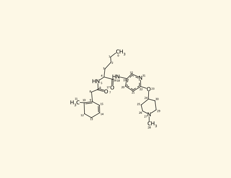 CCCCC(NC(=O)CC1=C(C)CCC=C1)C(=O)Nc1ccc(OC2CCN(C)CC2)nc1